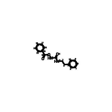 O=C(NCCc1ccccc1)NOC(=O)c1ccccc1